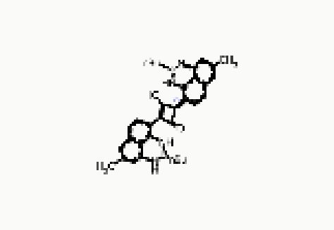 CCCCB1N=c2cc(C)cc3cc/c(=C4\C(=O)C(c5ccc6cc(C)cc7c6c5NB(CCCC)N7)=C4O)c(c23)N1